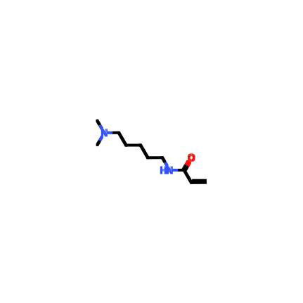 C=CC(=O)NCCCCCN(C)C